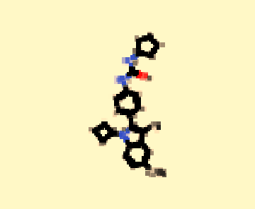 COc1ccc2c(c1)c(C#N)c(-c1ccc(NC(=O)NC3CCCC3)cc1)n2C1CCC1